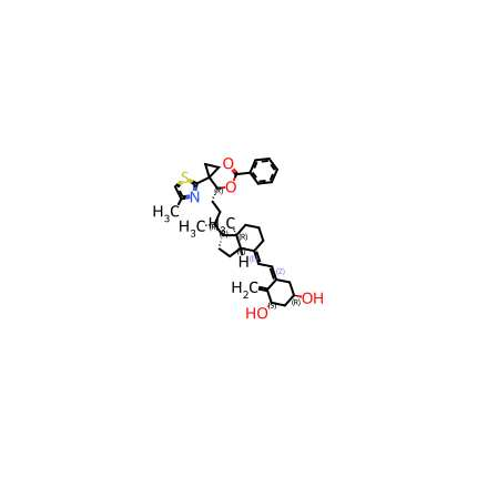 C=C1/C(=C\C=C2/CCC[C@]3(C)[C@@H]([C@H](C)CC[C@@H](OC(=O)c4ccccc4)C4(c5nc(C)cs5)CC4)CC[C@@H]23)C[C@@H](O)C[C@@H]1O